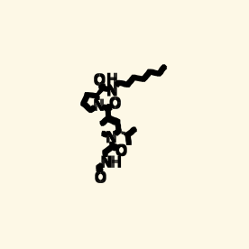 CCCCCCCNC(=O)[C@@H]1CCCN1C(=O)/C(C)=C/[C@H](C(C)C)N(C)C(=O)CNC=O